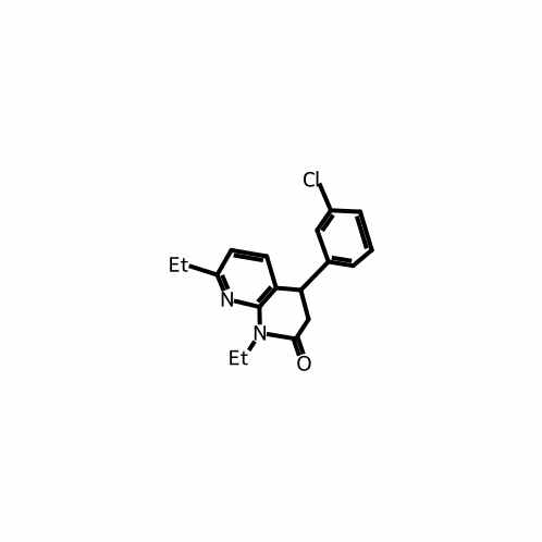 CCc1ccc2c(n1)N(CC)C(=O)CC2c1cccc(Cl)c1